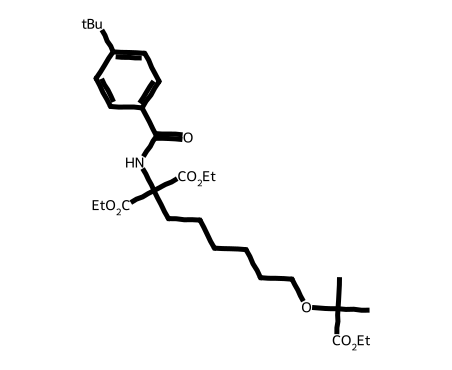 CCOC(=O)C(C)(C)OCCCCCCC(NC(=O)c1ccc(C(C)(C)C)cc1)(C(=O)OCC)C(=O)OCC